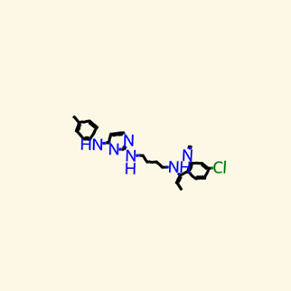 C=Nc1cc(Cl)ccc1/C(=C\C)NCCCCNc1nccc(Nc2ccc(C)cc2)n1